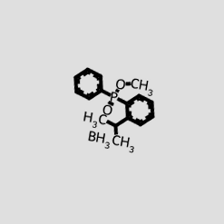 B.COP(=O)(c1ccccc1)c1ccccc1C(C)C